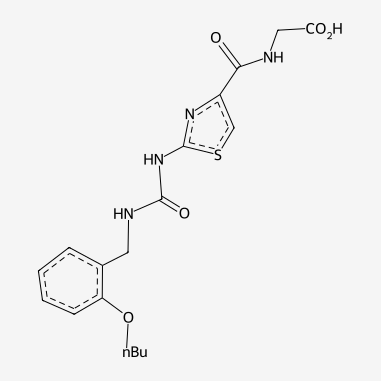 CCCCOc1ccccc1CNC(=O)Nc1nc(C(=O)NCC(=O)O)cs1